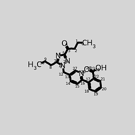 CCCC(=O)c1nc(CCC)n(Cc2ccc(-c3ccccc3C(=O)O)nc2)n1